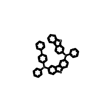 c1ccc(-c2ccc(N(c3ccccc3)c3ccc4sc5ccc(N(c6ccccc6)c6ccc7c(c6)oc6ccccc67)cc5c4c3)cc2)cc1